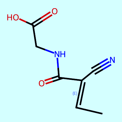 C/C=C(\C#N)C(=O)NCC(=O)O